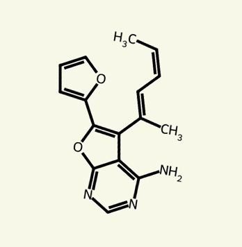 C/C=C\C=C(/C)c1c(-c2ccco2)oc2ncnc(N)c12